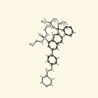 CCOP(=O)(OCC)c1cc(-c2ccc(COC3CCCCO3)cc2)cc2ccc(C(CC(C)C)(OC)c3ccccc3)nc12